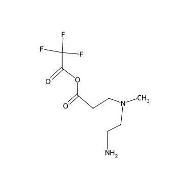 CN(CCN)CCC(=O)OC(=O)C(F)(F)F